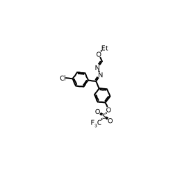 CCO/C=N/N=C(\c1ccc(Cl)cc1)c1ccc(OS(=O)(=O)C(F)(F)F)cc1